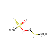 COS(=O)(=S)OCSS(=O)(=O)O